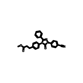 COC(=O)CCc1ccc(-n2c(-c3ccccc3)nn(-c3ccc(C#N)cc3)c2=O)cc1